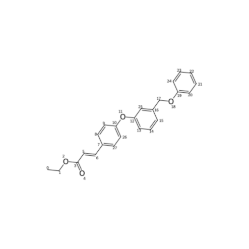 CCOC(=O)C=Cc1ccc(Oc2cccc(COc3ccccc3)c2)cc1